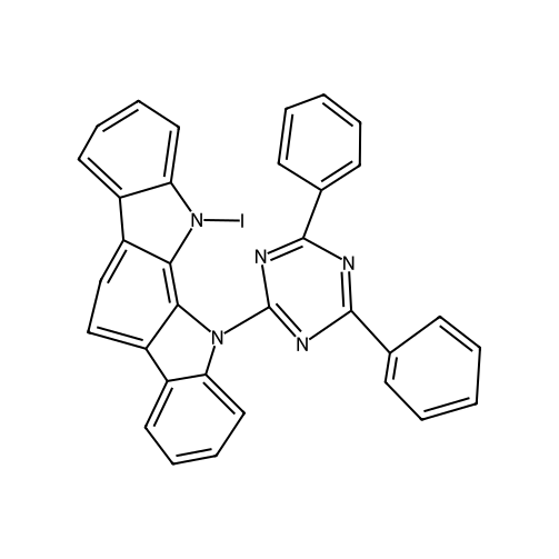 In1c2ccccc2c2ccc3c4ccccc4n(-c4nc(-c5ccccc5)nc(-c5ccccc5)n4)c3c21